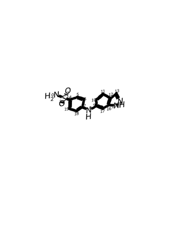 NS(=O)(=O)c1ccc(Nc2ccc3cn[nH]c3c2)cc1